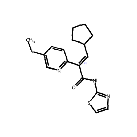 CSc1ccc(/C(=C\C2CCCC2)C(=O)Nc2nccs2)nc1